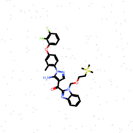 Cc1cc(Oc2cccc(F)c2F)ccc1-n1ncc(C(=O)c2nc3ccccc3n2COCCS(C)(C)C)c1N